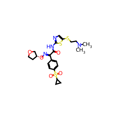 CN(C)CCSc1cnc(NC(=O)/C(=N/O[C@@H]2CCOC2)c2ccc(S(=O)(=O)C3CC3)cc2)s1